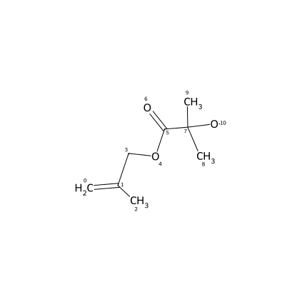 C=C(C)COC(=O)C(C)(C)[O]